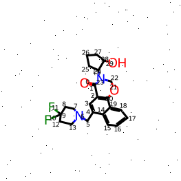 O=C1c2cc(CN3CCC(F)(F)CC3)c3ccccc3c2OCN1[C@H]1CCCC1O